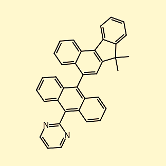 CC1(C)c2ccccc2-c2c1cc(-c1c3ccccc3c(-c3ncccn3)c3ccccc13)c1ccccc21